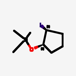 C[Si](C)(C)O[C@H]1CCC[C@@H]1I